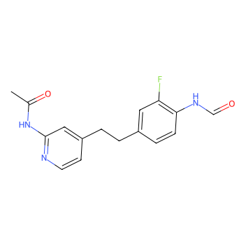 CC(=O)Nc1cc(CCc2ccc(NC=O)c(F)c2)ccn1